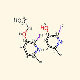 Cc1ccc(O)c(I)n1.Cc1ccc(OCC(=O)O)c(I)n1